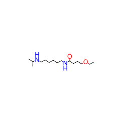 CCOCCCC(=O)NCCCCCCNC(C)C